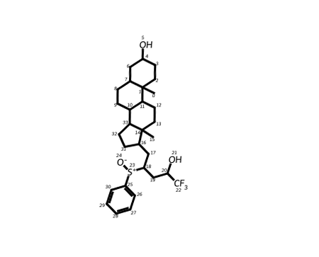 CC12CCC(O)CC1CCC1C2CCC2(C)C(CC(CC(O)C(F)(F)F)[S+]([O-])c3ccccc3)CCC12